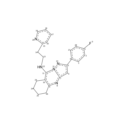 Fc1ccc(-c2cc3nc4c(c(NCCc5ccccn5)n3n2)CCCC4)cc1